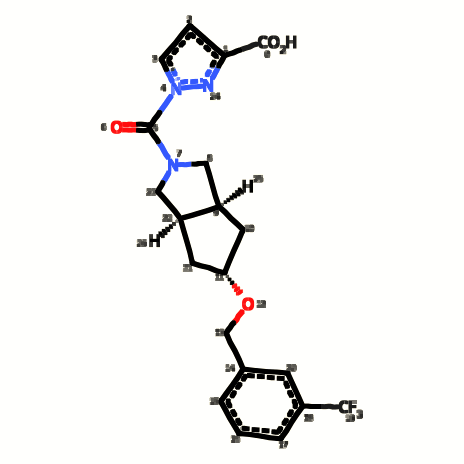 O=C(O)c1ccn(C(=O)N2C[C@H]3C[C@H](OCc4cccc(C(F)(F)F)c4)C[C@H]3C2)n1